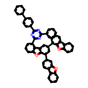 c1ccc(-c2ccc(-c3nc(-c4ccccc4)nc(-c4cccc5oc6c(-c7ccc8c(c7)oc7ccccc78)cc(-c7cccc8c7oc7ccccc78)cc6c45)n3)cc2)cc1